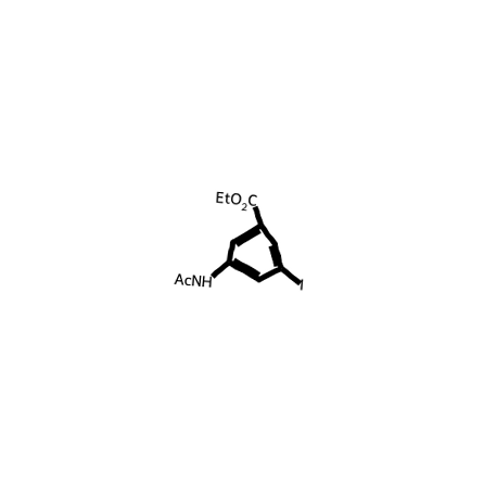 CCOC(=O)c1cc(I)cc(NC(C)=O)c1